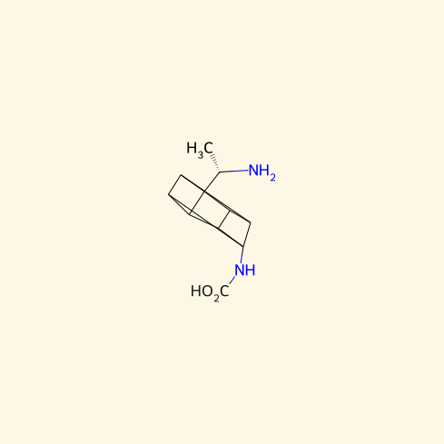 C[C@H](N)C12C3C4C1C1C2C3C41NC(=O)O